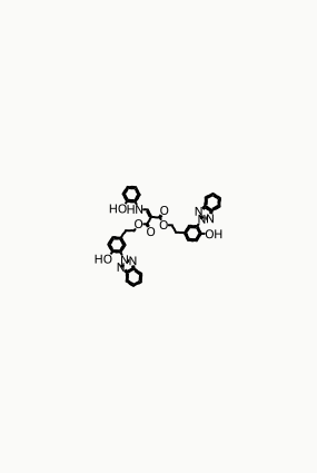 O=C(OCCc1ccc(O)c(-n2nc3ccccc3n2)c1)C(=CNc1ccccc1O)C(=O)OCCc1ccc(O)c(-n2nc3ccccc3n2)c1